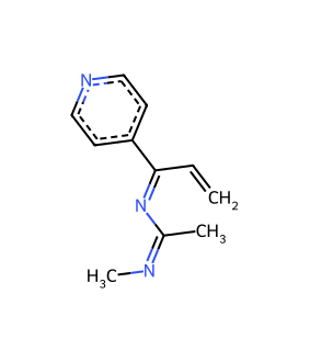 C=C/C(=N\C(C)=N/C)c1ccncc1